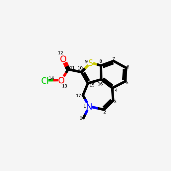 CN1C=Cc2cccc3sc(C(=O)OCl)c(c23)C1